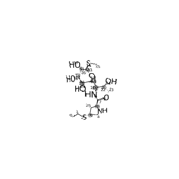 CCS[C@H]1CN[C@H](C(=O)N[C@@H]([C@H]2O[C@H](SC)[C@H](O)[C@@H](O)[C@H]2O)[C@@H](C)O)C1